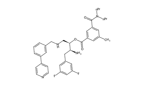 CCCN(CCC)C(=O)c1cc(C)cc(C(=O)O[C@H](CNCc2cccc(-c3ccncc3)c2)[C@@H](N)Cc2cc(F)cc(F)c2)c1